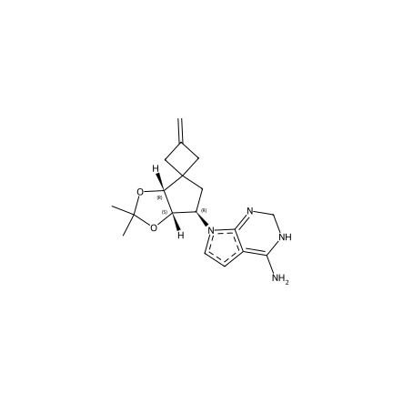 C=C1CC2(C1)C[C@@H](n1ccc3c1=NCNC=3N)[C@@H]1OC(C)(C)O[C@@H]12